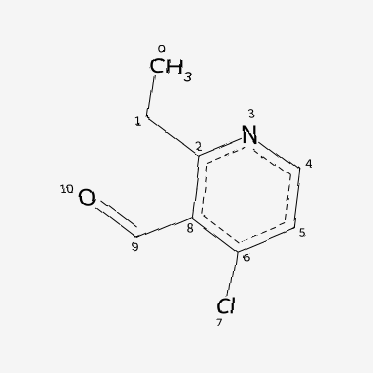 CCc1nccc(Cl)c1C=O